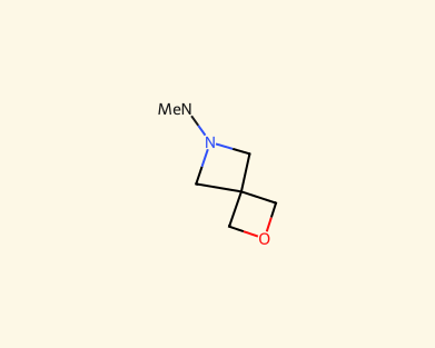 CNN1CC2(COC2)C1